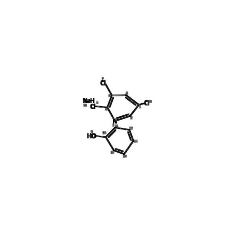 Clc1cnc(Cl)c(Cl)c1.Oc1ccccc1.[NaH]